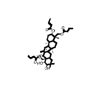 C=CCC1[C@@]2(C)CC[C@H](OC(=O)/C=C/C)[C@](C)(COC(=O)/C=C/C)C2CC[C@@]1(C)[C@@]1(C)CC2CC(C)(C)[C@@H](O)[C@H](O)[C@]2(COC(=O)/C=C/C)[C@H](O)C1